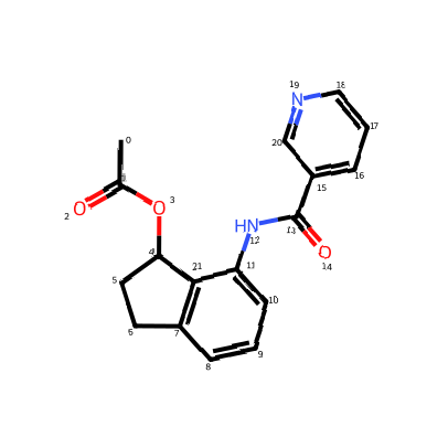 CC(=O)OC1CCc2cccc(NC(=O)c3cccnc3)c21